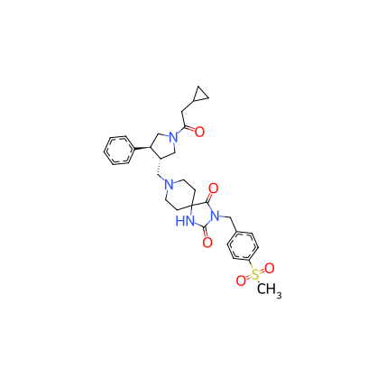 CS(=O)(=O)c1ccc(CN2C(=O)NC3(CCN(C[C@H]4CN(C(=O)CC5CC5)C[C@@H]4c4ccccc4)CC3)C2=O)cc1